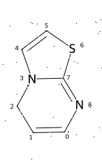 [C]1=CCN2C=CSC2=N1